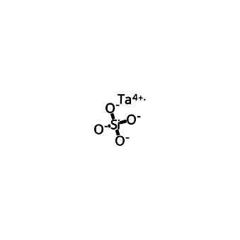 [O-][Si]([O-])([O-])[O-].[Ta+4]